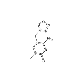 Cn1cc(Cn2ccnn2)c(N)nc1=O